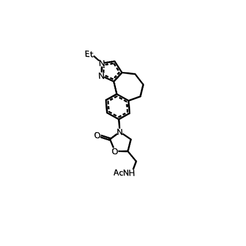 CCn1cc2c(n1)-c1ccc(N3CC(CNC(C)=O)OC3=O)cc1CCC2